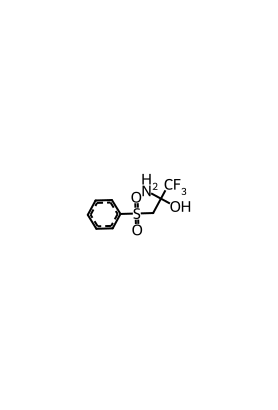 NC(O)(CS(=O)(=O)c1ccccc1)C(F)(F)F